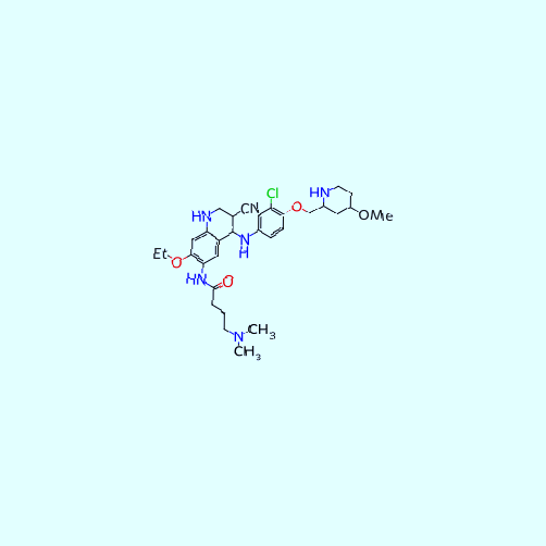 CCOc1cc2c(cc1NC(=O)CCCN(C)C)C(Nc1ccc(OCC3CC(OC)CCN3)c(Cl)c1)C(C#N)CN2